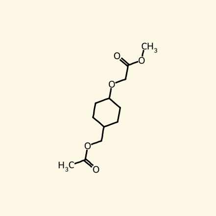 COC(=O)COC1CCC(COC(C)=O)CC1